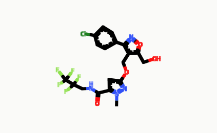 Cn1nc(OCc2c(-c3ccc(Cl)cc3)noc2CO)cc1C(=O)NCC(F)(F)C(F)(F)F